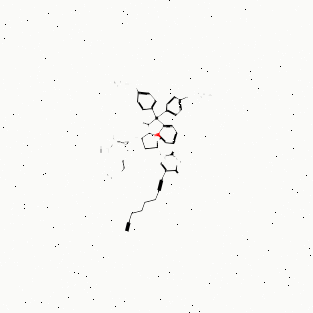 C#CCCCCC#Cc1cn([C@H]2C[C@H](OP(OCCC#N)N(C(C)C)C(C)C)[C@@H](C(O)C(c3ccccc3)(c3ccc(OC)cc3)c3ccc(OC)cc3)O2)c(=O)[nH]c1=O